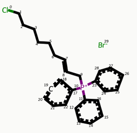 ClCCCCCC/C=C/C[P+](c1ccccc1)(c1ccccc1)c1ccccc1.[Br-]